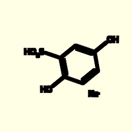 O=S(=O)(O)c1cc(O)ccc1O.[Na]